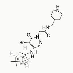 C[C@H]1[C@H]2C[C@H](C[C@H]1Nc1cnn(CC(=O)NCC3CCNCC3)c(=O)c1Br)C2(C)C